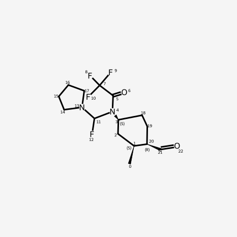 C[C@H]1C[C@@H](N(C(=O)C(F)(F)F)C(F)N2CCCC2)CC[C@H]1[C]=O